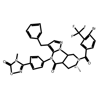 C[C@@H]1CC2C(=O)N(c3ccc(-c4noc(=O)n4C)cc3)c3c(Cc4ccccc4)cnn3C2CN1C(=O)c1ccc(Br)c(C(F)(F)F)c1